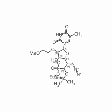 CCOP(=O)(OCC)[C@H](O[Si](C)(C)C(C)(C)C)[C@H](N=[N+]=[N-])[C@H]1O[C@@H](n2cc(C)c(=O)[nH]c2=O)[C@H](OCCOC)[C@@H]1O